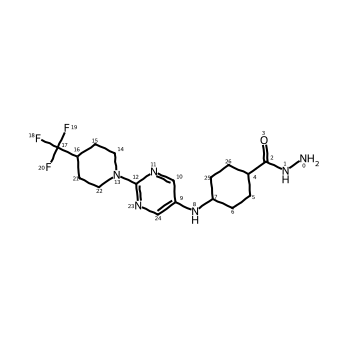 NNC(=O)C1CCC(Nc2cnc(N3CCC(C(F)(F)F)CC3)nc2)CC1